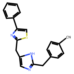 N#Cc1ccc(Cc2ncc(Cc3nc(-c4ccccc4)cs3)[nH]2)cc1